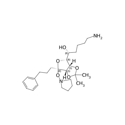 CC1(C)O[C@H]2[C@@H]([C@H](O)CCCCN)O[C@](CCCc3ccccc3)(ON3CCCC3)[C@H]2O1